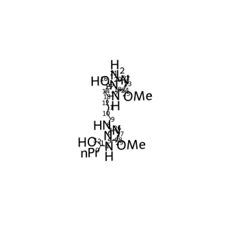 CCC[C@@H](CO)Nc1nc(NCCCC[C@@H](CCO)Nc2nc(N)ncc2OC)ncc1OC